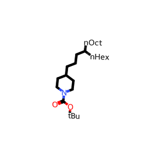 CCCCCC[CH]CC(CCCCCC)CCCC1CCN(C(=O)OC(C)(C)C)CC1